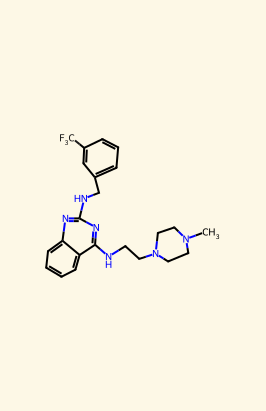 CN1CCN(CCNc2nc(NCc3cccc(C(F)(F)F)c3)nc3ccccc23)CC1